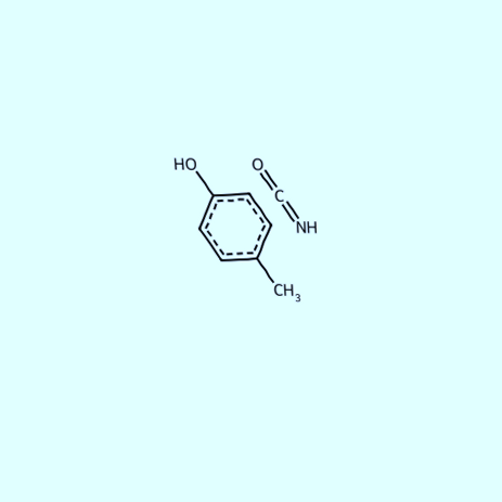 Cc1ccc(O)cc1.N=C=O